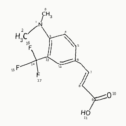 CN(C)c1ccc(/C=C/C(=O)O)cc1C(F)(F)F